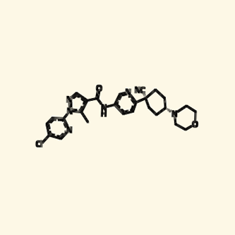 Cc1c(C(=O)Nc2ccc([C@]3(C#N)CC[C@@H](N4CCOCC4)CC3)nc2)cnn1-c1ccc(Cl)cn1